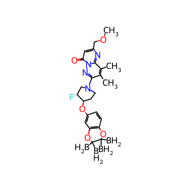 BC1(B)Oc2ccc(O[C@@H]3CCN(c4nn5c(=O)cc(COC)nc5c(C)c4C)C[C@H]3F)cc2OC1(B)B